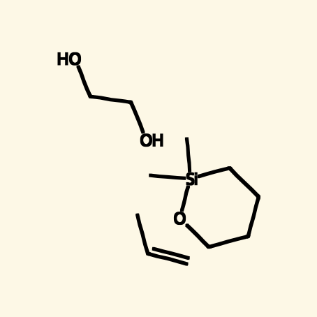 C=CC.C[Si]1(C)CCCCO1.OCCO